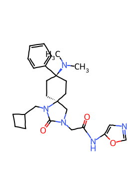 CN(C)[C@]1(c2ccccc2)CC[C@]2(CC1)CN(CC(=O)Nc1cnco1)C(=O)N2CC1CCC1